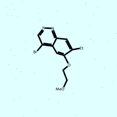 CCc1cc2nncc(Br)c2cc1OCCOC